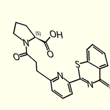 O=C(O)[C@@H]1CCCN1C(=O)CCc1cccc(-c2nc(=O)c3ccccc3s2)n1